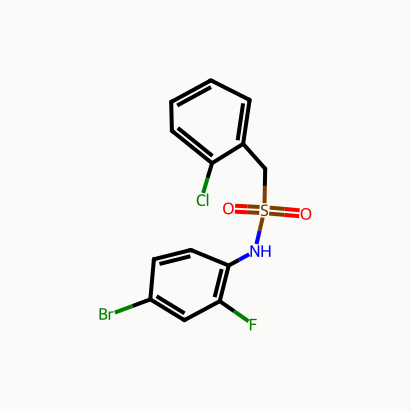 O=S(=O)(Cc1ccccc1Cl)Nc1ccc(Br)cc1F